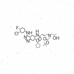 CC(O)CN(CC=CC(=O)Nc1cc2c(Nc3ccc(F)c(Cl)c3)ncnc2cc1OC1CCCC1)CC(=O)OC(C)(C)C